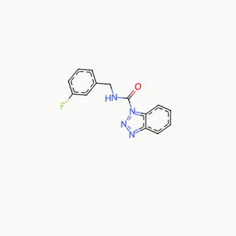 O=C(NCc1cccc(F)c1)n1nnc2ccccc21